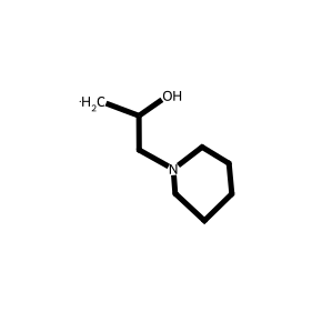 [CH2]C(O)CN1CCCCC1